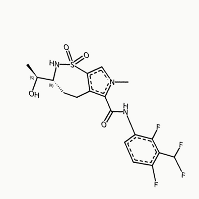 C[C@H](O)[C@H]1CCc2c(cn(C)c2C(=O)Nc2ccc(F)c(C(F)F)c2F)S(=O)(=O)N1